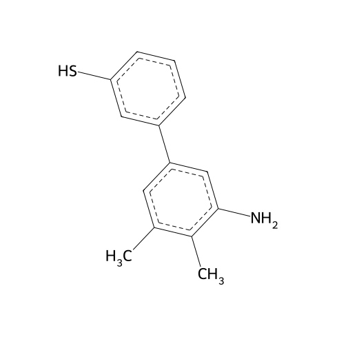 Cc1cc(-c2cccc(S)c2)cc(N)c1C